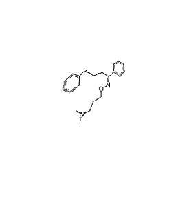 CN(C)CCCON=C(CCCc1ccccc1)c1ccccc1